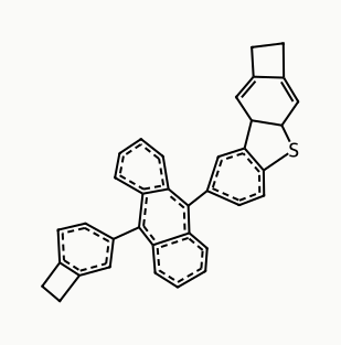 C1=C2CCC2=CC2c3cc(-c4c5ccccc5c(-c5ccc6c(c5)CC6)c5ccccc45)ccc3SC12